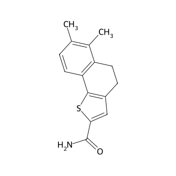 Cc1ccc2c(c1C)CCc1cc(C(N)=O)sc1-2